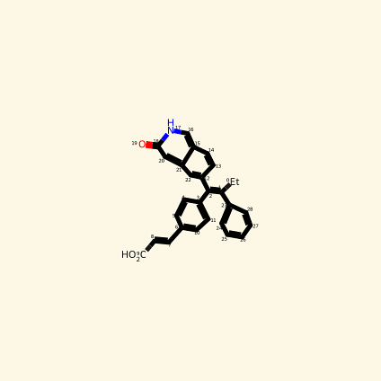 CC/C(=C(/c1ccc(/C=C/C(=O)O)cc1)c1ccc2c[nH]c(=O)cc2c1)c1ccccc1